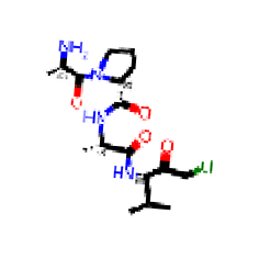 CC(C)[C@H](NC(=O)[C@H](C)NC(=O)[C@H]1CCCN1C(=O)[C@@H](C)N)C(=O)CCl